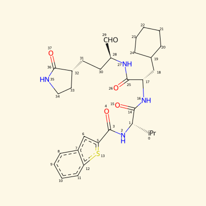 CC(C)[C@H](NC(=O)c1cc2ccccc2s1)C(=O)N[C@@H](CC1CCCCC1)C(=O)N[C@H](C=O)CC[C@@H]1CCNC1=O